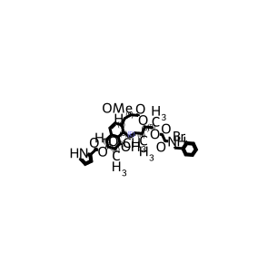 CO[C@H]1C[C@H]2C=CC3C4[C@H](O)[C@@H](C)[C@@H](OC(=O)c5ccc[nH]5)[C@@H]3O[C@]42/C(C)=C/[C@@H](C)[C@@H]([C@@H](C)OC(=O)C(=O)NCc2ccccc2Br)OC1=O